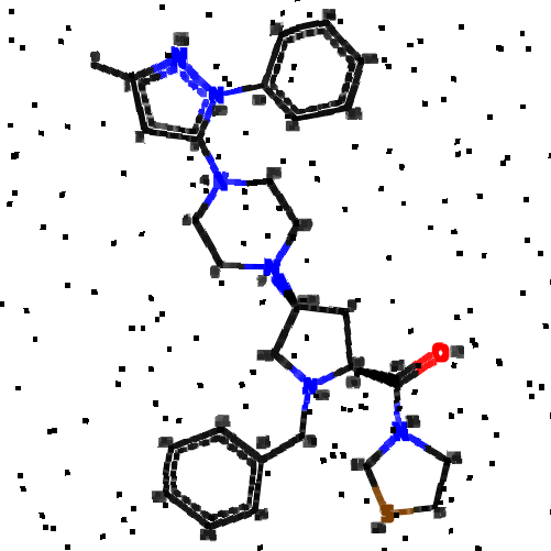 Cc1cc(N2CCN([C@H]3C[C@@H](C(=O)N4CCSC4)N(Cc4ccccc4)C3)CC2)n(-c2ccccc2)n1